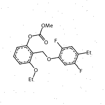 CCOc1cccc(OC(=O)OC)c1COc1cc(F)c(CC)cc1F